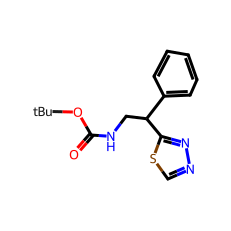 CC(C)(C)OC(=O)NCC(c1ccccc1)c1nncs1